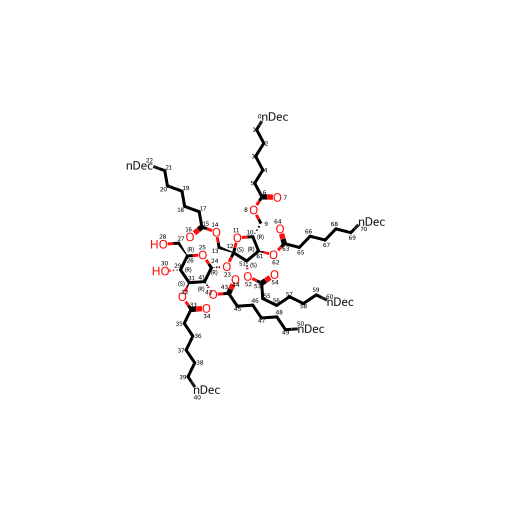 CCCCCCCCCCCCCCCC(=O)OC[C@H]1O[C@@](COC(=O)CCCCCCCCCCCCCCC)(O[C@H]2O[C@H](CO)[C@@H](O)[C@H](OC(=O)CCCCCCCCCCCCCCC)[C@H]2OC(=O)CCCCCCCCCCCCCCC)[C@@H](OC(=O)CCCCCCCCCCCCCCC)[C@@H]1OC(=O)CCCCCCCCCCCCCCC